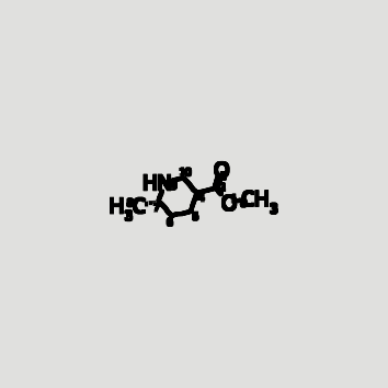 COC(=O)C1CC[C@H](C)NC1